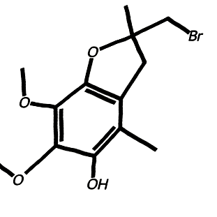 COc1c(O)c(C)c2c(c1OC)OC(C)(CBr)C2